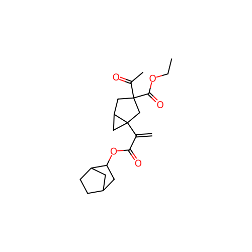 C=C(C(=O)OC1CC2CCC1C2)C12CC1CC(C(C)=O)(C(=O)OCC)C2